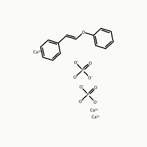 C(=Cc1ccccc1)Oc1ccccc1.O=P([O-])([O-])[O-].O=P([O-])([O-])[O-].[Ca+2].[Ca+2].[Ca+2]